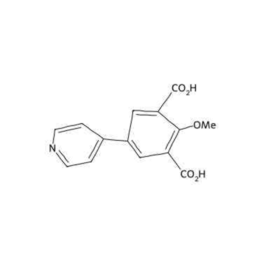 COc1c(C(=O)O)cc(-c2ccncc2)cc1C(=O)O